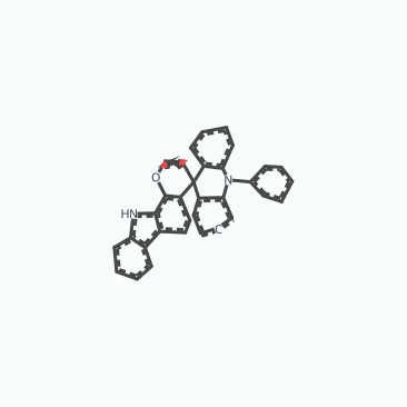 c1ccc(N2c3ccccc3C3(c4ccccc4Oc4c3ccc3c4[nH]c4ccccc43)c3ccccc32)cc1